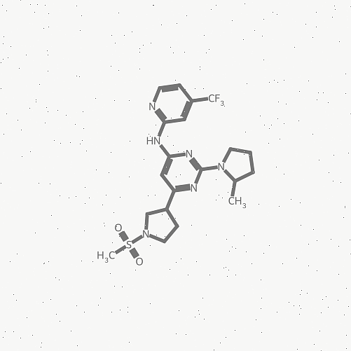 CC1CCCN1c1nc(Nc2cc(C(F)(F)F)ccn2)cc(C2CCN(S(C)(=O)=O)C2)n1